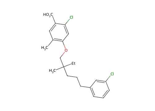 CCC(C)(CCCc1cccc(Cl)c1)COc1cc(Cl)c(C(=O)O)cc1C